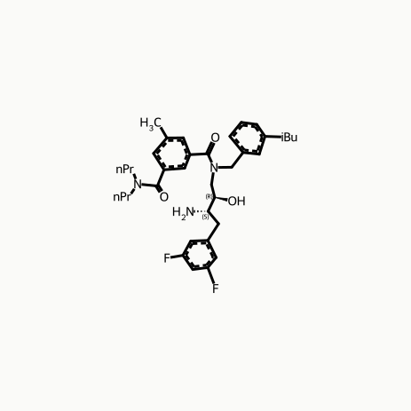 CCCN(CCC)C(=O)c1cc(C)cc(C(=O)N(Cc2cccc(C(C)CC)c2)C[C@@H](O)[C@@H](N)Cc2cc(F)cc(F)c2)c1